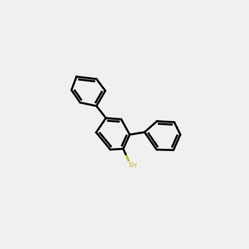 Sc1ccc(-c2ccccc2)cc1-c1ccccc1